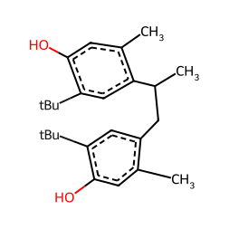 Cc1cc(O)c(C(C)(C)C)cc1CC(C)c1cc(C(C)(C)C)c(O)cc1C